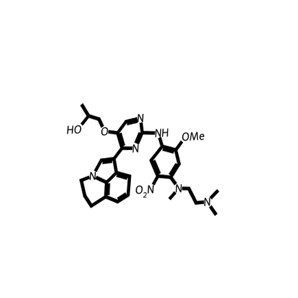 COc1cc(N(C)CCN(C)C)c([N+](=O)[O-])cc1Nc1ncc(OCC(C)O)c(-c2cn3c4c(cccc24)CCC3)n1